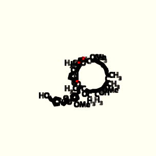 CO[C@H]1C[C@@H]2CC[C@@H](C)[C@@](O)(O2)C(=O)C(=O)N2CCCC[C@H]2C(=O)O[C@H]([C@H](C)C[C@@H]2CC[C@@H](OC(=O)CN3CCC(CCO)CC3)[C@H](OC)C2)CC(=O)[C@H](C)/C=C(\C)[C@@H](O)[C@@H](OC)C(=O)[C@H](C)C[C@H](C)/C=C/C=C/C=C/1C